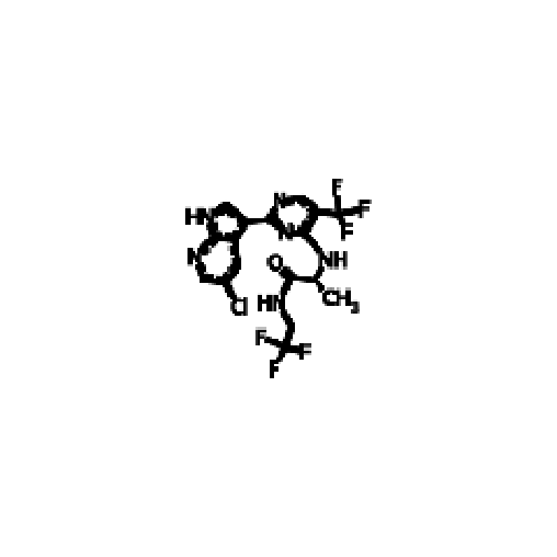 C[C@H](Nc1nc(-c2c[nH]c3ncc(Cl)cc23)ncc1C(F)(F)F)C(=O)NCC(F)(F)F